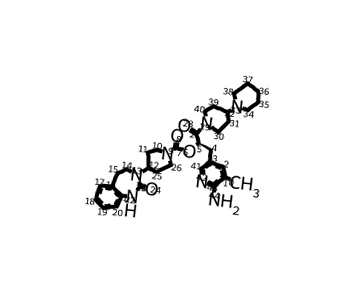 Cc1cc(C[C@@H](OC(=O)N2CCC(N3CCc4ccccc4NC3=O)CC2)C(=O)N2CCC(N3CCCCC3)CC2)cnc1N